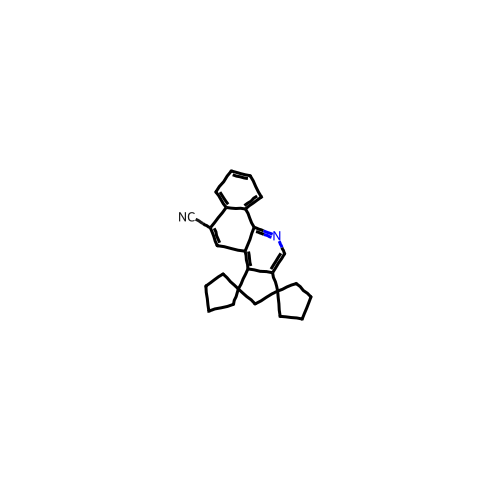 N#Cc1cc2c3c(cnc2c2ccccc12)C1(CCCC1)CC31CCCC1